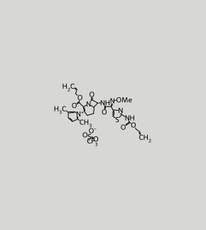 C=CCOC(=O)Nc1nc(C(=NOC)C(=O)N[C@@H]2C(=O)N3C(C(=O)OCC=C)=C([n+]4cc(C)ccc4C)CCC23)cs1.O=S(=O)([O-])C(F)(F)F